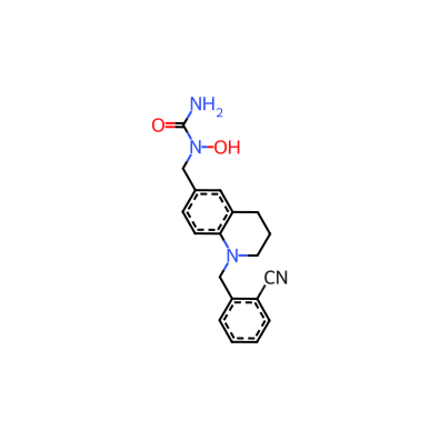 N#Cc1ccccc1CN1CCCc2cc(CN(O)C(N)=O)ccc21